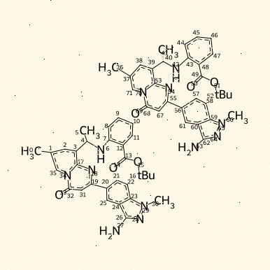 Cc1cc(C(C)Nc2ccccc2C(=O)OC(C)(C)C)c2nc(-c3ccc4c(c3)c(N)nn4C)cc(=O)n2c1.Cc1cc([C@H](C)Nc2ccccc2C(=O)OC(C)(C)C)c2nc(-c3ccc4c(c3)c(N)nn4C)cc(=O)n2c1